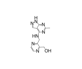 Cc1nc(NCc2nccnc2CO)c2cn[nH]c2n1